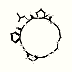 CC(C)C[C@H]1NC(=O)c2ccccc2OCc2noc(n2)CCCCCCCCNC(=O)[C@H]2CCCN2C1=O